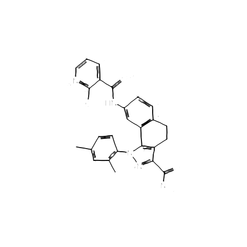 NC(=O)c1nn(-c2ccc(F)cc2F)c2c1CCc1ccc(NC(=O)c3cccnc3Cl)cc1-2